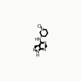 ClN1CCC[C@H](Nc2ncnc3[nH]ncc23)C1